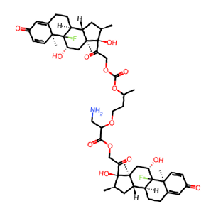 CC(CCOC(CN)C(=O)OCC(=O)[C@@]1(O)[C@H](C)C[C@H]2[C@@H]3CCC4=CC(=O)C=C[C@]4(C)[C@@]3(F)[C@@H](O)C[C@@]21C)OC(=O)OCC(=O)[C@@]1(O)[C@H](C)C[C@H]2[C@@H]3CCC4=CC(=O)C=C[C@]4(C)[C@@]3(F)[C@@H](O)C[C@@]21C